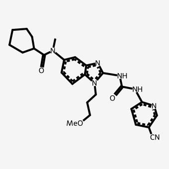 COCCCn1c(NC(=O)Nc2ccc(C#N)cn2)nc2cc(N(C)C(=O)C3CCCCC3)ccc21